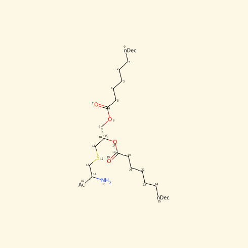 CCCCCCCCCCCCCCCC(=O)OC[C@@H](CSCC(N)C(C)=O)OC(=O)CCCCCCCCCCCCCCC